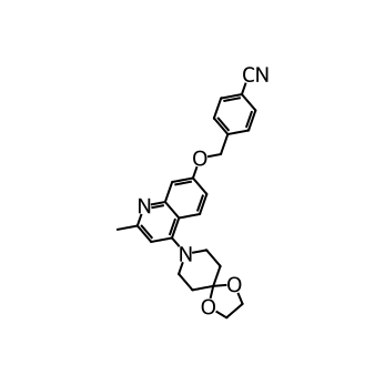 Cc1cc(N2CCC3(CC2)OCCO3)c2ccc(OCc3ccc(C#N)cc3)cc2n1